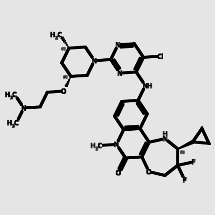 C[C@H]1C[C@@H](OCCN(C)C)CN(c2ncc(Cl)c(Nc3ccc4c(c3)c3c(c(=O)n4C)OCC(F)(F)[C@H](C4CC4)N3)n2)C1